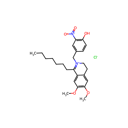 CCCCCCCC1=[N+](Cc2ccc(O)c([N+](=O)[O-])c2)CCc2cc(OC)c(OC)cc21.[Cl-]